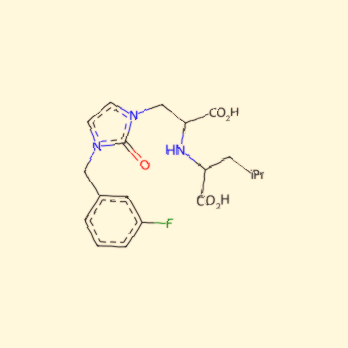 CC(C)CC(NC(Cn1ccn(Cc2cccc(F)c2)c1=O)C(=O)O)C(=O)O